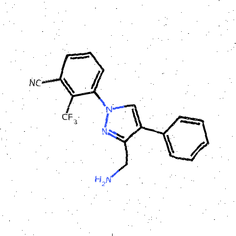 N#Cc1cccc(-n2cc(-c3ccccc3)c(CN)n2)c1C(F)(F)F